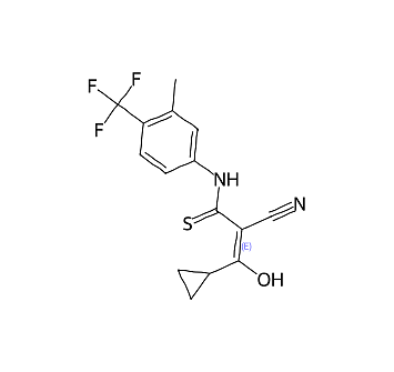 Cc1cc(NC(=S)/C(C#N)=C(/O)C2CC2)ccc1C(F)(F)F